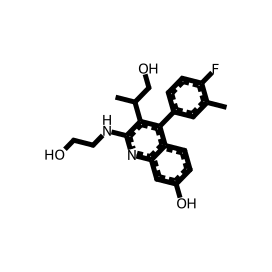 Cc1cc(-c2c(C(C)CO)c(NCCO)nc3cc(O)ccc23)ccc1F